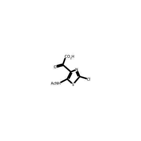 CC(=O)Nc1sc(Cl)nc1C(=O)C(=O)O